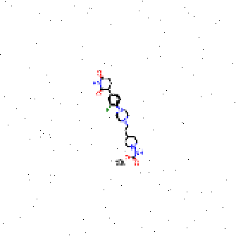 CC(C)(C)OC(=O)NN1CCC(CCN2CCN(c3ccc(C4CCC(=O)NC4=O)cc3F)CC2)CC1